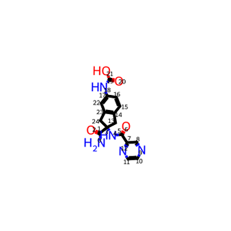 NC(=O)C1(NC(=O)c2cnccn2)Cc2ccc(NC(=O)O)cc2C1